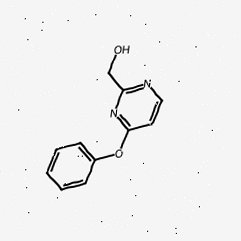 OCc1nccc(Oc2ccccc2)n1